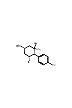 [2H][C@@H]1C[C@@H](CCC)CC([2H])([2H])C1c1ccc(C#N)cc1